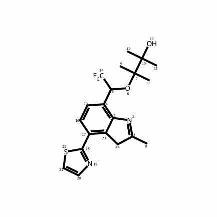 CC1=Nc2c(C(OC(C)(C)C(C)(C)O)C(F)(F)F)ccc(-c3nccs3)c2C1